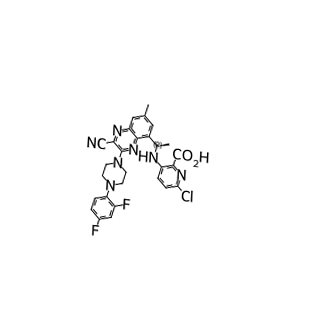 Cc1cc([C@@H](C)Nc2ccc(Cl)nc2C(=O)O)c2nc(N3CCN(c4ccc(F)cc4F)CC3)c(C#N)nc2c1